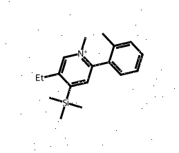 CCc1c[n+](C)c(-c2ccccc2C)cc1[Si](C)(C)C